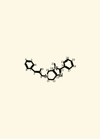 C/C(=C\c1ccccc1)CN1CCc2nc(-c3ccccc3)n(C)c2C1